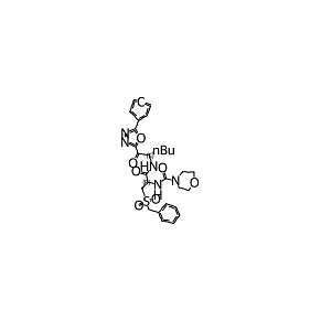 CCCC[C@H](NC(=O)[C@H](CS(=O)(=O)Cc1ccccc1)NC(=O)N1CCOCC1)C(=O)c1nnc(-c2ccccc2)o1